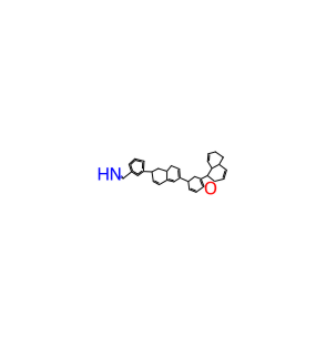 N=Cc1cccc(C2C=CC3=CC(C4C=CC5=C(C4)C4C(C=CC6CCC=CC64)O5)=CCC3C2)c1